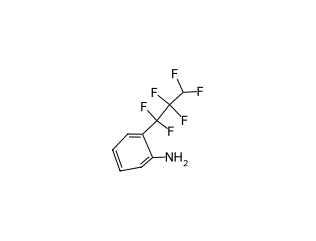 Nc1ccccc1C(F)(F)C(F)(F)C(F)F